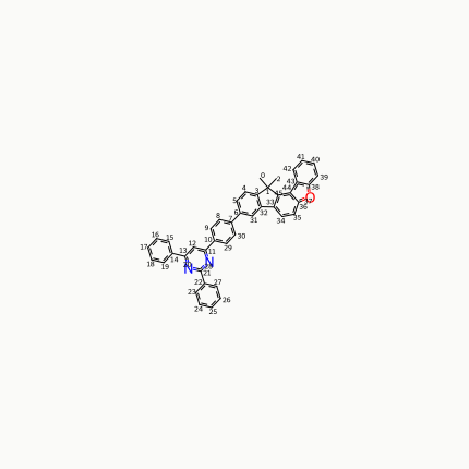 CC1(C)c2ccc(-c3ccc(-c4cc(-c5ccccc5)nc(-c5ccccc5)n4)cc3)cc2-c2ccc3oc4ccccc4c3c21